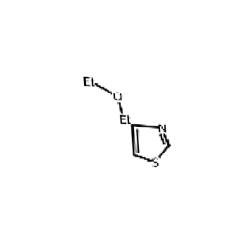 CCOCC.c1cscn1